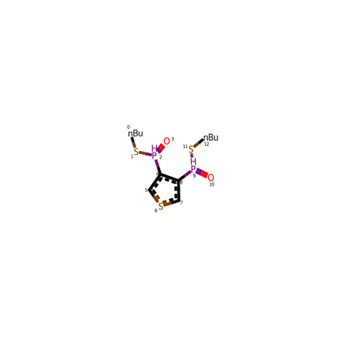 CCCCS[PH](=O)c1cscc1[PH](=O)SCCCC